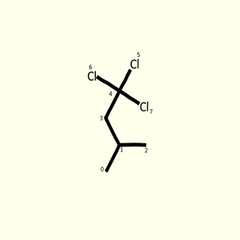 CC(C)[CH]C(Cl)(Cl)Cl